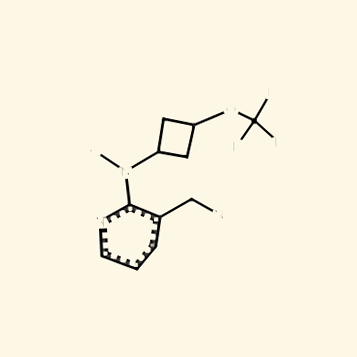 CN(c1ncccc1CN)C1CC(OC(F)(F)F)C1